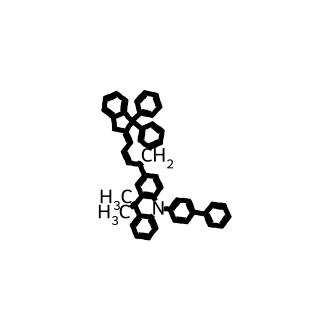 C=C(/C=C\C=C1/Cc2ccccc2C1(c1ccccc1)c1ccccc1)c1ccc2c(c1)C(C)(C)c1ccccc1N2c1ccc(-c2ccccc2)cc1